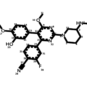 CNC1CCCN(c2nc(OC)c(-c3ccc(OC)c(O)c3)c(-c3ccc(C#N)c(F)c3)n2)C1